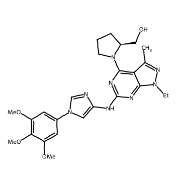 CCn1nc(C)c2c(N3CCC[C@H]3CO)nc(Nc3cn(-c4cc(OC)c(OC)c(OC)c4)cn3)nc21